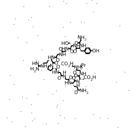 CC(C)C[C@H](NC(=O)[C@H](CC(=O)O)NC(=O)[C@H](CCC(N)=O)NC(=O)CNC(=O)CNC(=O)[C@@H]1CCCN1C(=O)[C@H](CCCNC(=N)N)NC(=O)CNC(=O)CNC(=O)[C@H](CO)NC(=O)[C@H](Cc1ccc(O)cc1)NC(=O)CN)C(=O)NCC(=O)O